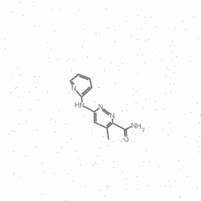 Cc1cc(Nc2ccccn2)nnc1C(N)=O